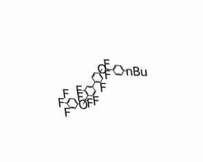 CCCCc1ccc(C(F)(F)Oc2ccc(-c3cc(F)c(C(F)(F)Oc4cc(F)c(F)c(F)c4)c(F)c3)c(F)c2)cc1